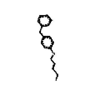 CCCCCOc1ccc(Cc2c[c]ccc2)cc1